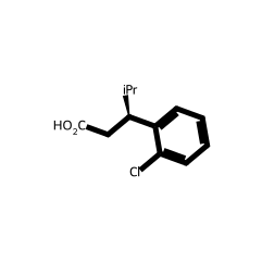 CC(C)[C@H](CC(=O)O)c1ccccc1Cl